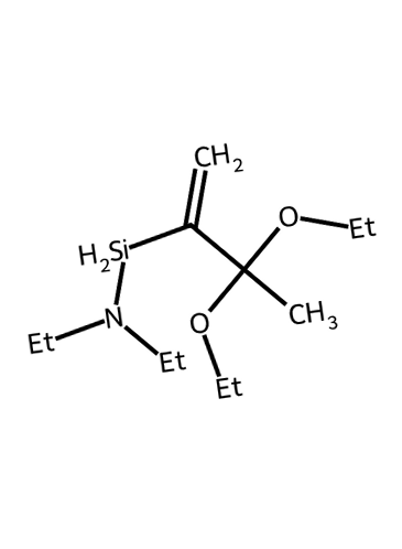 C=C([SiH2]N(CC)CC)C(C)(OCC)OCC